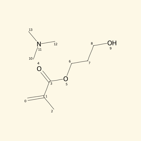 C=C(C)C(=O)OCCCO.CN(C)C